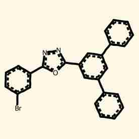 Brc1cccc(-c2nnc(-c3cc(-c4ccccc4)cc(-c4ccccc4)c3)o2)c1